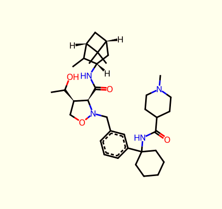 CC(O)[C@@H]1CON(Cc2cccc(C3(NC(=O)C4CCN(C)CC4)CCCCC3)c2)[C@@H]1C(=O)N[C@H]1C[C@H]2C[C@@H](C1C)C2(C)C